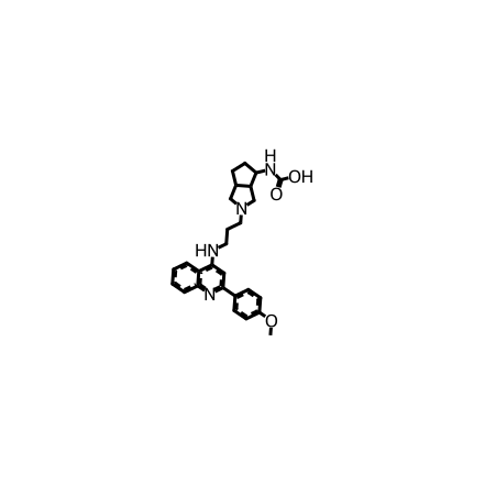 COc1ccc(-c2cc(NCCCN3CC4CCC(NC(=O)O)C4C3)c3ccccc3n2)cc1